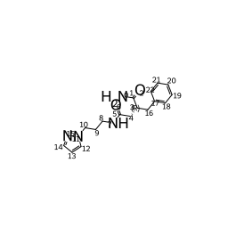 NC(=O)[C@@H](CC(=O)NCCCn1cccn1)Cc1ccccc1